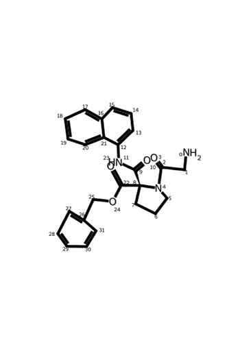 NCC(=O)N1CCC[C@]1(C(=O)Nc1cccc2ccccc12)C(=O)OCc1ccccc1